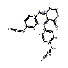 [N-]=[N+]=Nc1ccc(/C=C2/CCCC(=O)/C2=C\c2ccc(N=[N+]=[N-])cc2)cc1